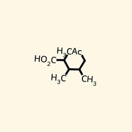 CC(=O)CC(C)C(C)C(C)C(=O)O